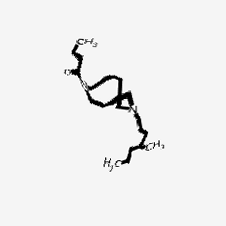 CCCC(=O)N1CCC2(CC1)CN(CCCC(C)CCC)C2